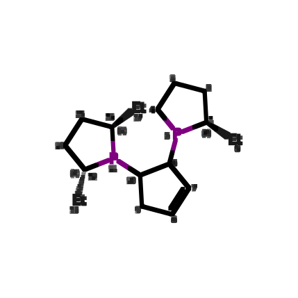 CC[C@@H]1CCCP1C1C=CCC1P1[C@H](CC)CC[C@H]1CC